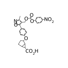 Cc1noc(-c2ccc(OC3CCC4C(C(=O)O)C34)cc2)c1COC(=O)Oc1ccc([N+](=O)[O-])cc1